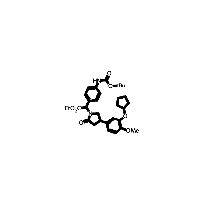 CCOC(=O)C(c1ccc(NC(=O)OC(C)(C)C)cc1)N1CC(c2ccc(OC)c(OC3CCCC3)c2)CC1=O